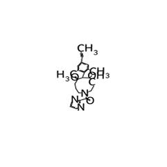 CC#Cc1cc(C)c(C2C(=O)CCCN(C(=O)c3ncccn3)CCCC2O)c(C)c1